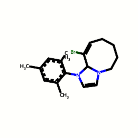 Cc1cc(C)c(N2C=CN3CCCC/C=C(/Br)C32)c(C)c1